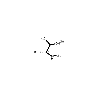 CC(O)[C@H](NC(C)(C)C)C(=O)O.Cl